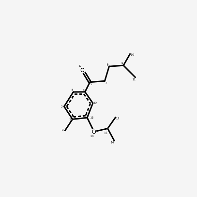 Cc1ccc(C(=O)CCC(C)C)cc1OC(C)C